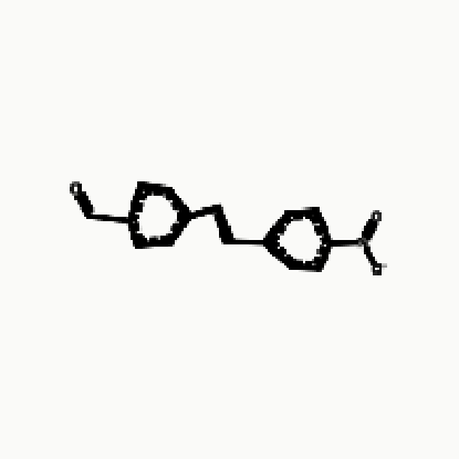 O=Cc1ccc(/C=C/c2ccc([N+](=O)[O-])cc2)cc1